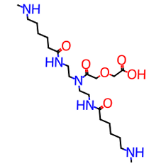 CNCCCCCC(=O)NCCN(CCNC(=O)CCCCCNC)C(=O)COCC(=O)O